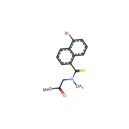 COC(=O)CN(C)C(=S)c1cccc2c(Br)cccc12